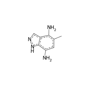 Cc1cc(N)c2[nH]ncc2c1N